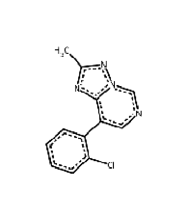 Cc1nc2c(-c3ccccc3Cl)cncn2n1